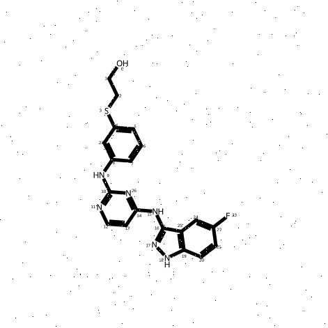 OCCSc1cccc(Nc2nccc(Nc3n[nH]c4ccc(F)cc34)n2)c1